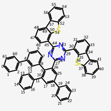 c1ccc(-c2cccc(-c3c(-c4ccccc4)cc(-c4ccccc4)cc3-c3nc(-c4cccc5c4sc4ccccc45)nc(-c4cccc5c4sc4ccccc45)n3)c2)cc1